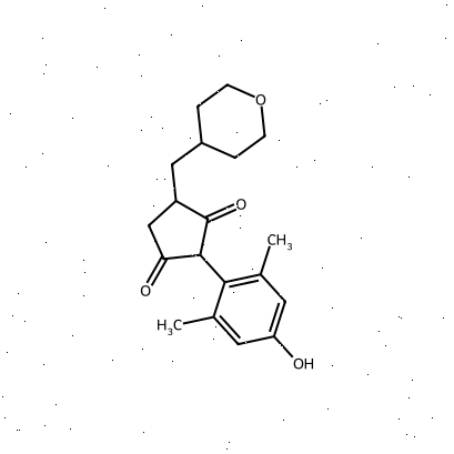 Cc1cc(O)cc(C)c1C1C(=O)CC(CC2CCOCC2)C1=O